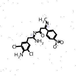 C/N=C(\CC(=O)/N=C(\N)Cc1cc(Cl)c(N)c(Cl)c1)c1ccc([N+](=O)[O-])cc1